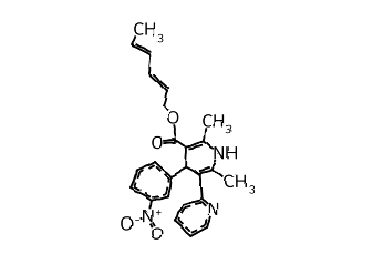 CC=CC=CCOC(=O)C1=C(C)NC(C)=C(c2ccccn2)C1c1cccc([N+](=O)[O-])c1